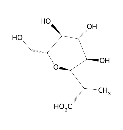 C[C@H](C(=O)O)[C@H]1O[C@H](CO)[C@@H](O)[C@H](O)[C@H]1O